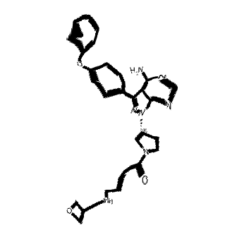 Nc1ncnc2c1c(-c1ccc(Oc3ccccc3)cc1)nn2[C@@H]1CCN(C(=O)C=CCNC2COC2)C1